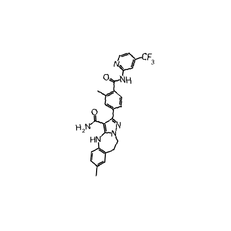 Cc1ccc2c(c1)CCn1nc(-c3ccc(C(=O)Nc4cc(C(F)(F)F)ccn4)c(C)c3)c(C(N)=O)c1N2